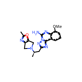 COc1cccc2c1nc(N)n1nc(C[C@@H](C)N3Cc4nc(C)oc4C3)nc21